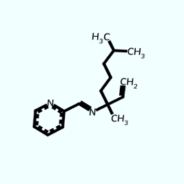 C=CC(C)(CCCC(C)C)N=Cc1ccccn1